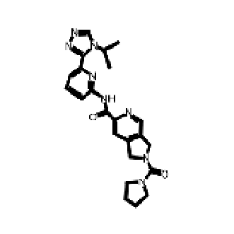 CC(C)n1cnnc1-c1cccc(NC(=O)c2cc3c(cn2)CN(C(=O)N2CCCC2)C3)n1